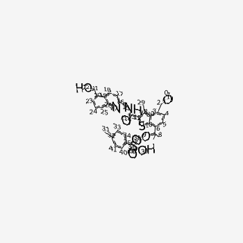 COCc1ccc(C(C)=O)c2sc(C(=O)Nc3ccc4c(CO)cccc4n3)c(C)c12.Cc1ccc(S(=O)(=O)O)cc1